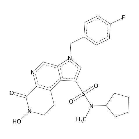 CN(C1CCCC1)S(=O)(=O)c1cn(Cc2ccc(F)cc2)c2cnc3c(c12)CCN(O)C3=O